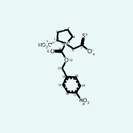 O=C(O)[C@@H]1CCC[N+]1(CC([O-])=S)C(=O)OCc1ccc([N+](=O)[O-])cc1